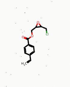 C=Cc1ccc(C(=O)OCC2OC2CCl)cc1